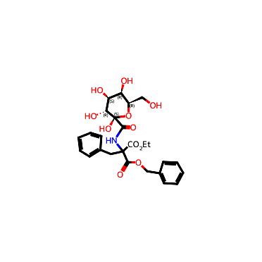 CCOC(=O)C(Cc1ccccc1)(NC(=O)[C@@]1(O)O[C@H](CO)[C@H](O)[C@H](O)[C@H]1O)C(=O)OCc1ccccc1